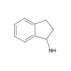 [NH]C1CCc2ccccc21